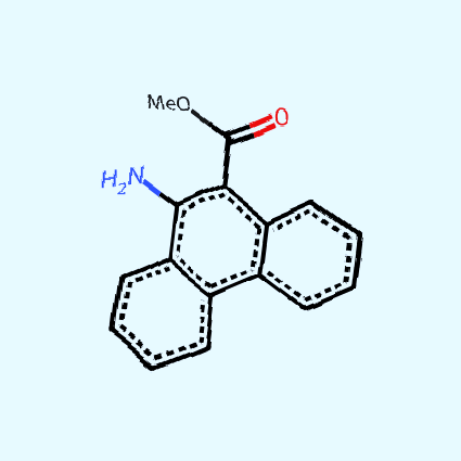 COC(=O)c1c(N)c2ccccc2c2ccccc12